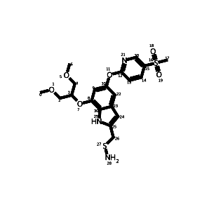 COCC(COC)Oc1cc(Oc2ccc(S(C)(=O)=O)cn2)cc2cc(CSN)[nH]c12